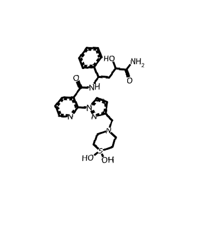 NC(=O)C(O)CC(NC(=O)c1cccnc1-n1ccc(CN2CCS(O)(O)CC2)n1)c1ccccc1